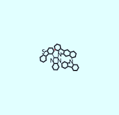 c1cc(-n2c3ccccc3c3ccccc32)c2cc3c(cc2c1)c1ccccc1n3-c1nc2ccccc2nc1-c1cccc2sc3ccccc3c12